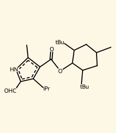 Cc1[nH]c(C=O)c(C(C)C)c1C(=O)OC1C(C(C)(C)C)CC(C)CC1C(C)(C)C